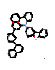 c1ccc(-c2ccccc2N(c2cccc(-c3cccc(-c4cccc5ccccc45)c3)c2)c2ccc3oc4ccccc4c3c2)cc1